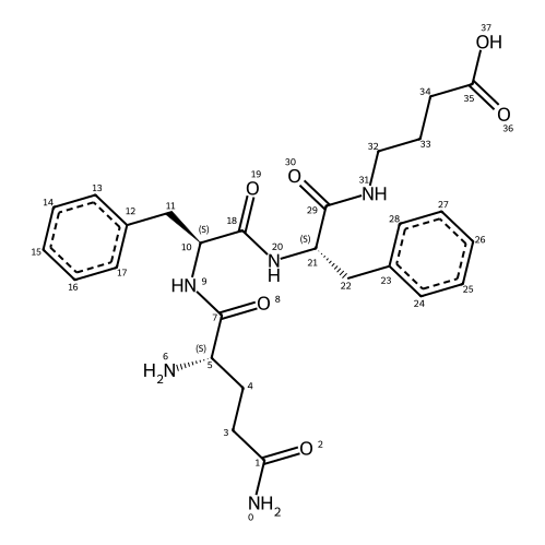 NC(=O)CC[C@H](N)C(=O)N[C@@H](Cc1ccccc1)C(=O)N[C@@H](Cc1ccccc1)C(=O)NCCCC(=O)O